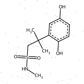 CNS(=O)(=O)CC(C)(C)c1cc(O)ccc1O